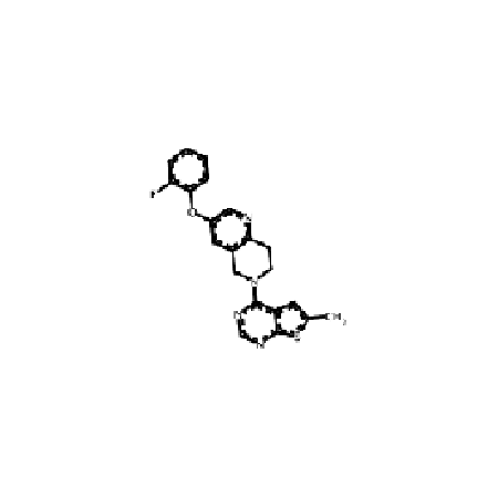 Cc1cc2c(N3CCc4ncc(Oc5ccccc5F)cc4C3)ncnc2s1